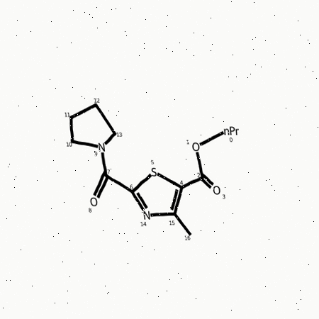 CCCOC(=O)c1sc(C(=O)N2CCCC2)nc1C